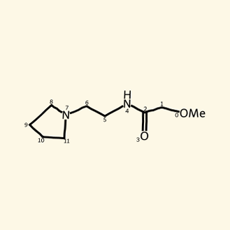 COCC(=O)NCCN1CCCC1